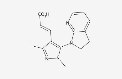 Cc1nn(C)c(N2CCc3cccnc32)c1/C=C/C(=O)O